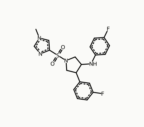 Cn1cnc(S(=O)(=O)N2CC(Nc3ccc(F)cc3)C(c3cccc(F)c3)C2)c1